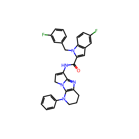 O=C(NC1=CCn2c1nc1c2N(c2ccccc2)CCC1)c1cc2cc(F)ccc2n1Cc1cccc(F)c1